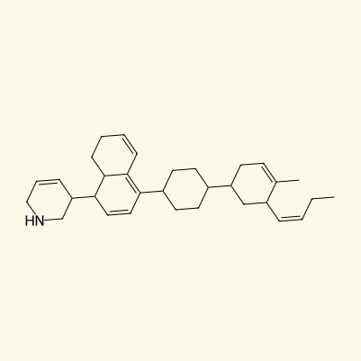 CC/C=C\C1CC(C2CCC(C3=C4C=CCCC4C(C4C=CCNC4)C=C3)CC2)CC=C1C